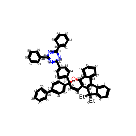 CCC1(CC)c2ccccc2-c2c1c1c(c3ccccc23)OC(c2ccc(-c3ccccc3)cc2)(c2ccc(-c3nc(-c4ccccc4)nc(-c4ccccc4)n3)cc2)C=C1